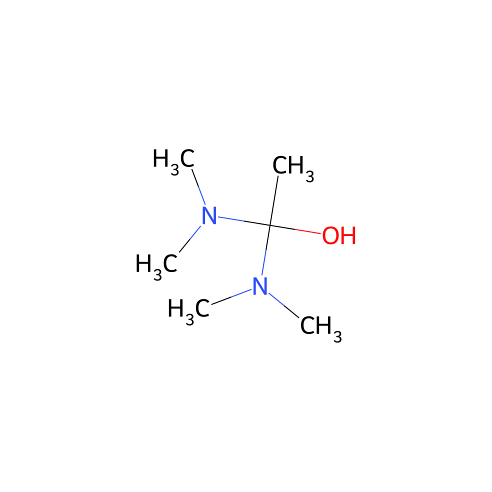 CN(C)C(C)(O)N(C)C